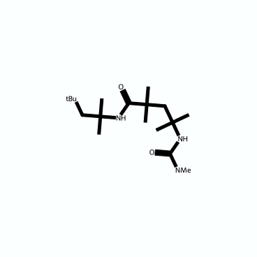 CNC(=O)NC(C)(C)CC(C)(C)C(=O)NC(C)(C)CC(C)(C)C